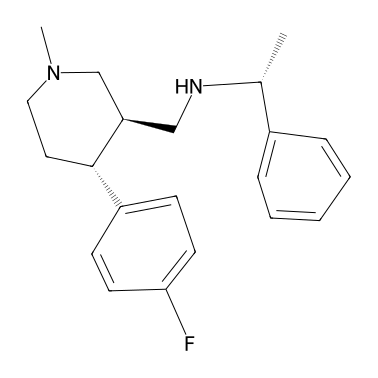 C[C@@H](NC[C@@H]1CN(C)CC[C@H]1c1ccc(F)cc1)c1ccccc1